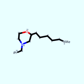 CNCCCCCC1CN(CC(C)C)CCO1